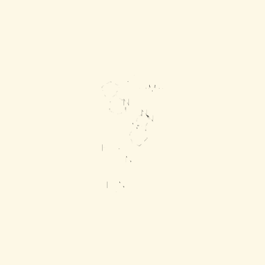 COCC1(c2cccc3ccc(-c4nnc5ccc([C@@H](N6CC[C@H](N)C6)C(F)(F)F)cn45)nc23)CC1